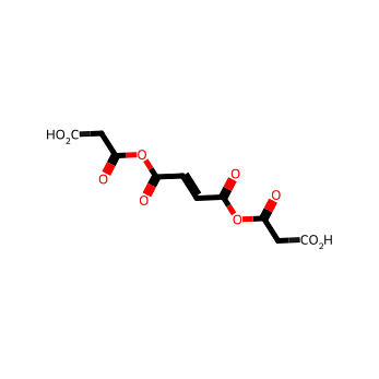 O=C(O)CC(=O)OC(=O)/C=C/C(=O)OC(=O)CC(=O)O